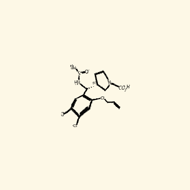 C=CCOc1cc(Cl)c(Cl)cc1C(N[S+]([O-])C(C)(C)C)[C@@H]1CCN(C(=O)O)C1